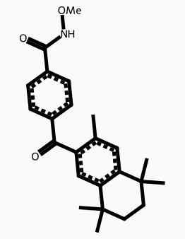 CONC(=O)c1ccc(C(=O)c2cc3c(cc2C)C(C)(C)CCC3(C)C)cc1